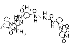 CC[C@@H]1C(=O)N(C)c2cnc(Nc3ccc(C(=O)NCCNCC(=O)Nc4cccc5c4CN(C4CCC(=O)NC4=O)C5=O)cc3OC)nc2N1C1CCCC1